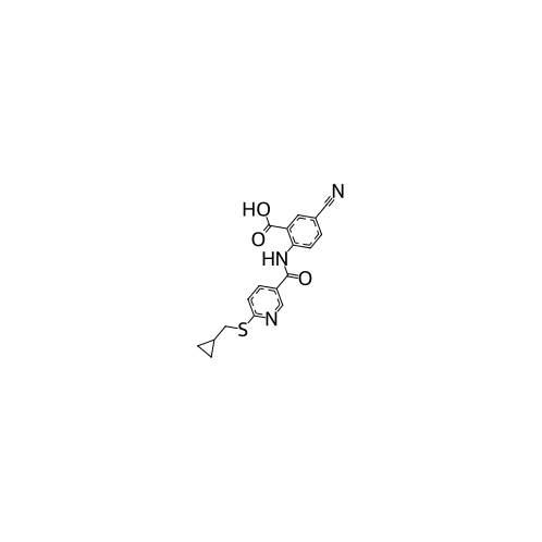 N#Cc1ccc(NC(=O)c2ccc(SCC3CC3)nc2)c(C(=O)O)c1